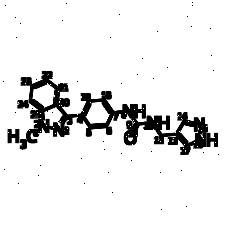 Cn1nc(-c2ccc(NC(=O)NCc3cn[nH]c3)cc2)c2ccccc21